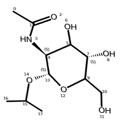 CC(=O)N[C@H]1C(O)[C@H](O)C(CO)O[C@@H]1OC(C)C